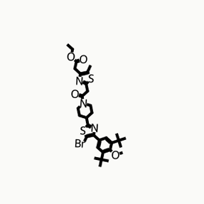 CCOC(=O)Cc1nc(CC(=O)N2CCC(c3nc(-c4cc(C(C)(C)C)c(OC)c(C(C)(C)C)c4)c(Br)s3)CC2)sc1C